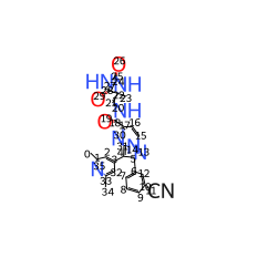 Cc1cc(-c2c(-c3cccc(C#N)c3)nn3ccc(C(=O)NCC4(C)NC(=O)NC4=O)nc23)cc(C)n1